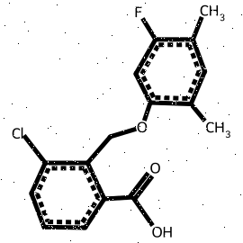 Cc1cc(C)c(OCc2c(Cl)cccc2C(=O)O)cc1F